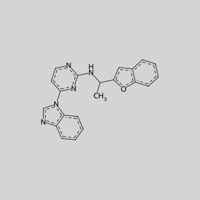 CC(Nc1nccc(-n2cnc3ccccc32)n1)c1cc2ccccc2o1